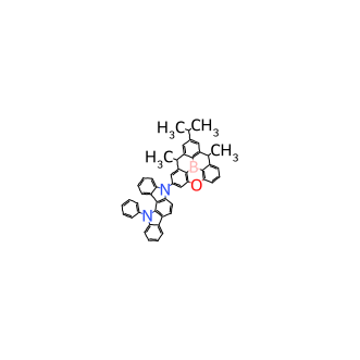 CC(C)c1cc2c3c(c1)C(C)c1cc(-n4c5ccccc5c5c4ccc4c6ccccc6n(-c6ccccc6)c45)cc4c1B3c1c(cccc1C2C)O4